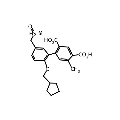 Cc1cc(-c2cc(C[SH](=O)=O)ccc2OCC2CCCC2)c(C(=O)O)cc1C(=O)O